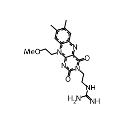 COCCn1c2nc(=O)n(CCNC(=N)N)c(=O)c-2nc2cc(C)c(C)cc21